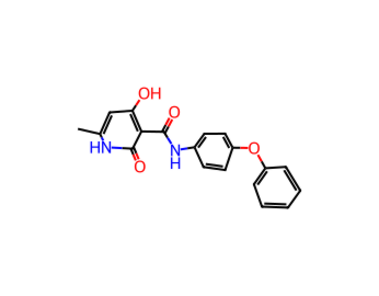 Cc1cc(O)c(C(=O)Nc2ccc(Oc3ccccc3)cc2)c(=O)[nH]1